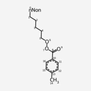 [CH2]CCCCCCCCCCCCCOOC(=O)c1ccc(C)cc1